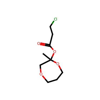 CC1(OC(=O)CCCl)COCCCO1